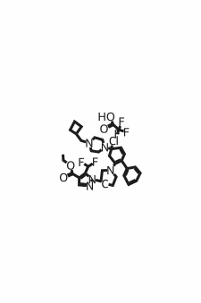 CCOC(=O)c1cnn(C2CCCN(C3=C(c4ccccc4)C=CC(Cl)(N4CCN(CC5CCC5)CC4)C3)C2)c1C(F)F.O=C(O)C(F)(F)F